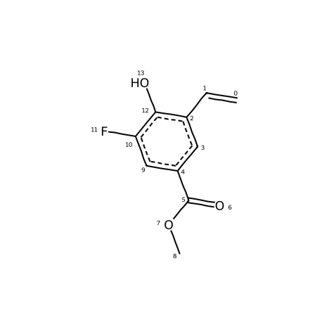 C=Cc1cc(C(=O)OC)cc(F)c1O